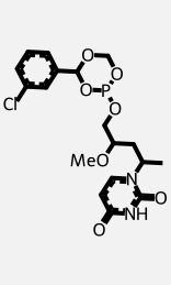 COC(COP1OCOC(c2cccc(Cl)c2)O1)CC(C)n1ccc(=O)[nH]c1=O